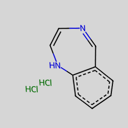 C1=CNc2ccccc2C=N1.Cl.Cl